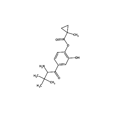 CC1(C(=O)Oc2ccc(C(=O)C(N)C(C)(C)C)cc2O)CC1